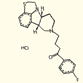 Cl.O=C(CCCN1CC[C@@H]2[C@H](C1)c1cccc3c1N2CCS3)c1ccc(F)cc1